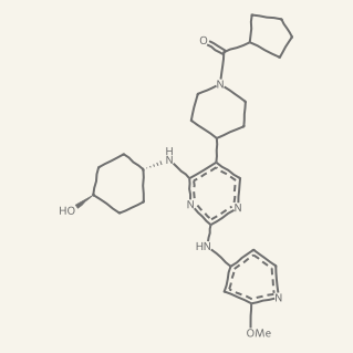 COc1cc(Nc2ncc(C3CCN(C(=O)C4CCCC4)CC3)c(N[C@H]3CC[C@H](O)CC3)n2)ccn1